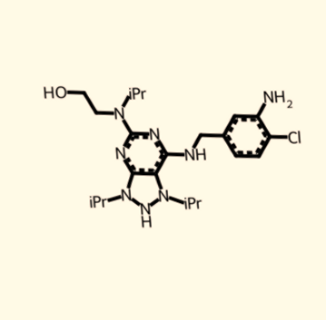 CC(C)N(CCO)c1nc(NCc2ccc(Cl)c(N)c2)c2c(n1)N(C(C)C)NN2C(C)C